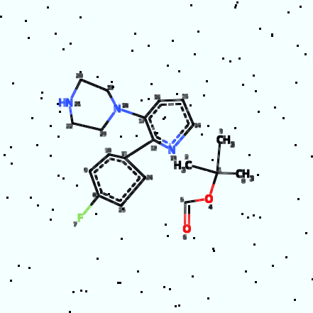 CC(C)(C)OC=O.Fc1ccc(-c2ncccc2N2CCNCC2)cc1